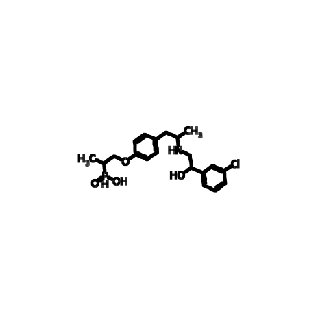 CC(Cc1ccc(OCC(C)[PH](=O)O)cc1)NCC(O)c1cccc(Cl)c1